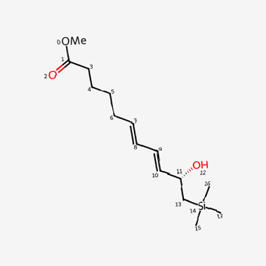 COC(=O)CCCC/C=C/C=C/[C@H](O)C[Si](C)(C)C